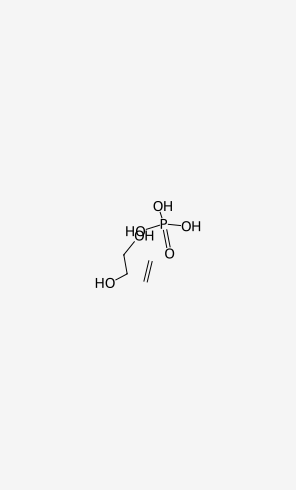 C=C.O=P(O)(O)O.OCCO